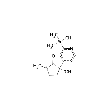 CN1CCC(O)(c2ccn[c]([Sn]([CH3])([CH3])[CH3])c2)C1=O